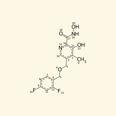 Cc1c(COCc2ccc(F)cc2F)cnc(C(=O)NO)c1O